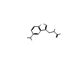 CC(N)c1ccc2[nH]cc(CC(N)C(=O)O)c2c1